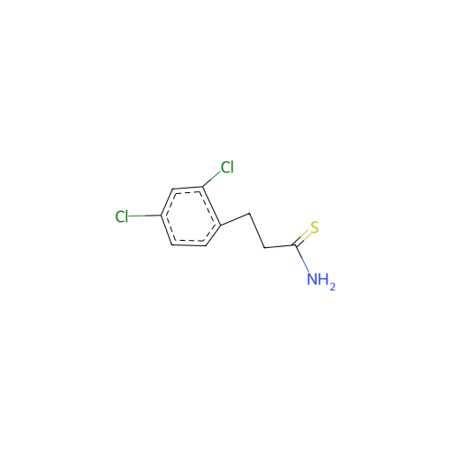 NC(=S)CCc1ccc(Cl)cc1Cl